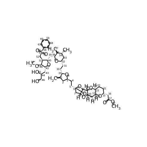 C=C1C[C@H](CC[C@@]23C[C@H]4O[C@H]5[C@@H](O2)[C@H]2O[C@@H](CC(=O)OC)CC[C@@H]2O[C@H]5C4O3)O[C@H]1CC[C@H]1C[C@@H](C)C(=C)[C@@H](C[C@@H]2O[C@H](C[C@H](O)CO)[C@H](OC)[C@H]2CS(=O)(=O)c2ccccc2)O1